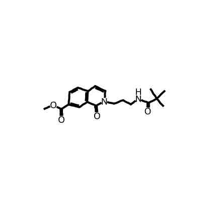 COC(=O)c1ccc2ccn(CCCNC(=O)C(C)(C)C)c(=O)c2c1